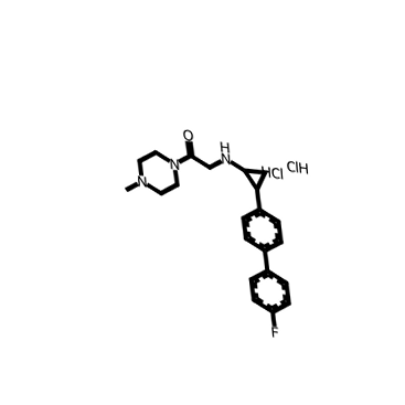 CN1CCN(C(=O)CNC2CC2c2ccc(-c3ccc(F)cc3)cc2)CC1.Cl.Cl